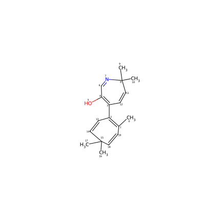 CC1=C(C2=C(O)C=NC(C)(C)C=C2)C=CC(C)(C)C=C1